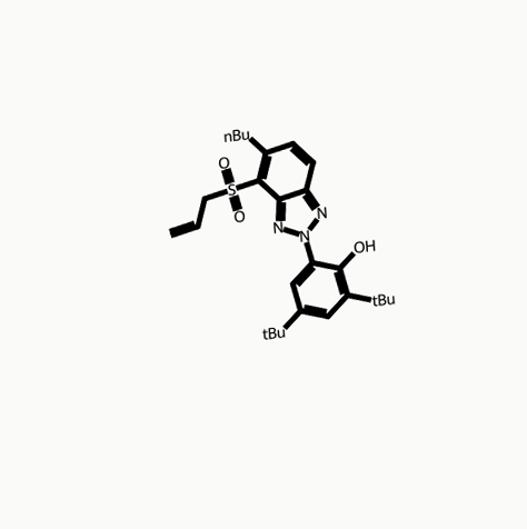 C=CCS(=O)(=O)c1c(CCCC)ccc2nn(-c3cc(C(C)(C)C)cc(C(C)(C)C)c3O)nc12